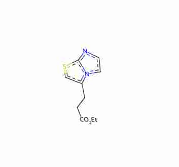 CCOC(=O)CCc1csc2nccn12